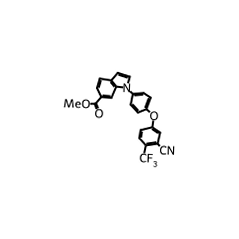 COC(=O)c1ccc2ccn(-c3ccc(Oc4ccc(C(F)(F)F)c(C#N)c4)cc3)c2c1